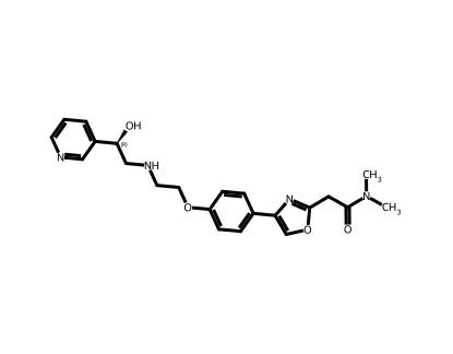 CN(C)C(=O)Cc1nc(-c2ccc(OCCNC[C@H](O)c3cccnc3)cc2)co1